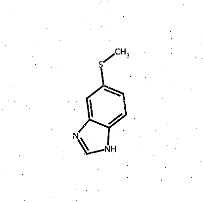 CSc1ccc2[nH][c]nc2c1